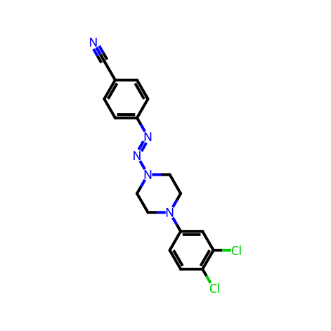 N#Cc1ccc(N=NN2CCN(c3ccc(Cl)c(Cl)c3)CC2)cc1